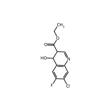 CCOC(=O)C1C=Nc2cc(Cl)c(F)cc2C1O